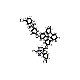 C=C(/C=C\C(=C/C)S(=O)(=O)c1cccc(Cl)c1)Oc1ccc(C2(c3ccc(Oc4ccc(S(=O)(=O)c5cccc(Cl)c5)cc4)cc3)c3ccccc3-c3ccccc32)cc1